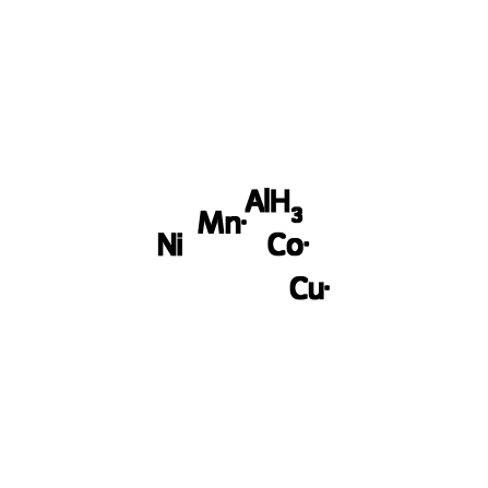 [AlH3].[Co].[Cu].[Mn].[Ni]